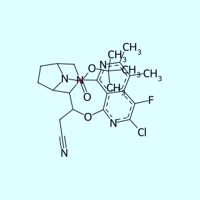 Cc1nc2c3c(nc(Cl)c(F)c3c1C)OC(CC#N)C1C3CCC(CN21)N3C(=O)OC(C)(C)C